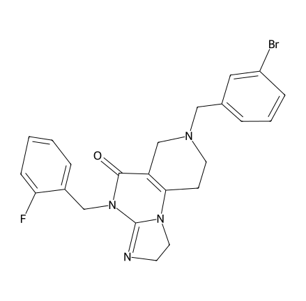 O=C1C2=C(CCN(Cc3cccc(Br)c3)C2)N2CCN=C2N1Cc1ccccc1F